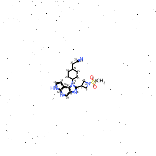 CS(=O)(=O)N1CC(c2nc3cnc4[nH]ccc4c3n2C2CCC(CC#N)CC2)C1